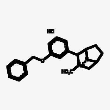 CN1C2CCC1C(c1cccc(OCc3ccccc3)c1)C(C(=O)O)C2.Cl